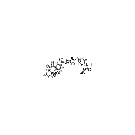 CC(C)(C)OC(=O)NC1CCN(Cc2ncc(CNC(=O)c3ccc4c(c3)NC(=O)c3ccccc3S4(=O)=O)s2)CC1